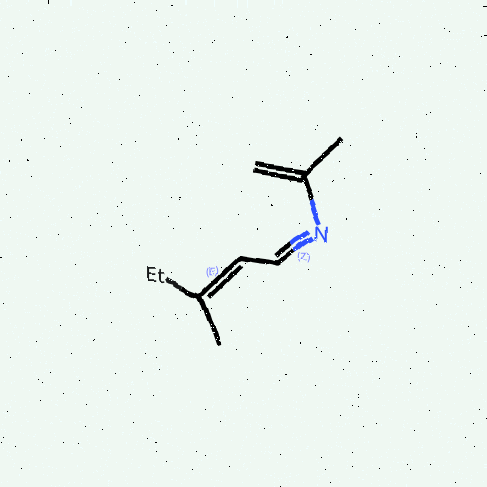 C=C(C)/N=C\C=C(/C)CC